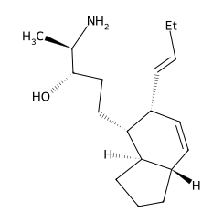 CC/C=C/[C@@H]1C=C[C@@H]2CCC[C@H]2[C@@H]1CC[C@H](O)[C@@H](C)N